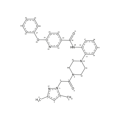 Cc1cc(C)n(CC(=O)N2CCN(c3ccccc3NC(=O)c3ccc(Oc4ccccc4)nc3)CC2)n1